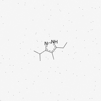 CCc1[nH]nc(C(C)C)c1C